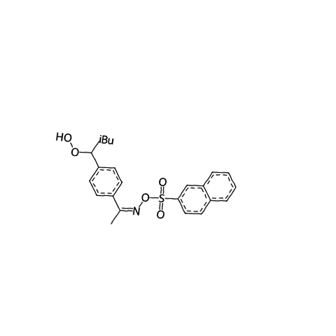 CCC(C)C(OO)c1ccc(/C(C)=N\OS(=O)(=O)c2ccc3ccccc3c2)cc1